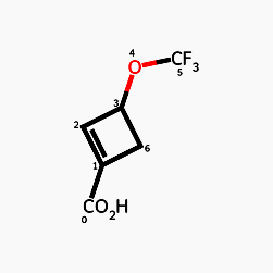 O=C(O)C1=CC(OC(F)(F)F)C1